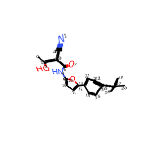 CC(O)=C(C#N)C(=O)Nc1ccc(-c2ccc(C(C)(C)C)cc2)o1